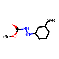 CSC1CCCC(NNC(=O)OC(C)(C)C)C1